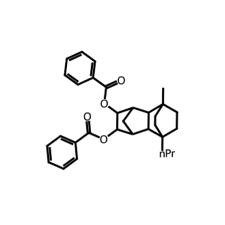 CCCC12CCC(C)(CC1)C1C3CC(C(OC(=O)c4ccccc4)C3OC(=O)c3ccccc3)C12